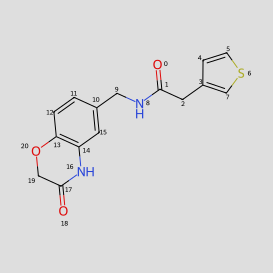 O=C(Cc1ccsc1)NCc1ccc2c(c1)NC(=O)CO2